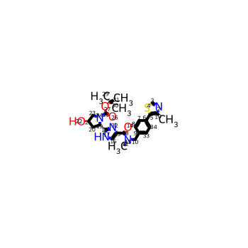 Cc1ncsc1-c1ccc(CN(C)C(=O)c2c[nH]c([C@@H]3C[C@@H](O)CN3C(=O)OC(C)(C)C)n2)cc1